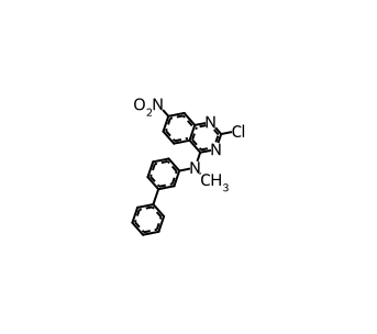 CN(c1cccc(-c2ccccc2)c1)c1nc(Cl)nc2cc([N+](=O)[O-])ccc12